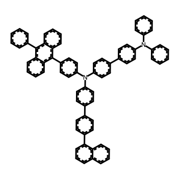 c1ccc(-c2c3ccccc3c(-c3ccc(N(c4ccc(-c5ccc(-c6cccc7ccccc67)cc5)cc4)c4ccc(-c5ccc(N(c6ccccc6)c6ccccc6)cc5)cc4)cc3)c3ccccc23)cc1